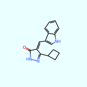 O=C1NN=C(C2CCC2)C1=Cc1c[nH]c2ccccc12